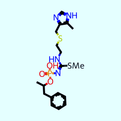 CSC(=NP(=O)(O)OC(C)Cc1ccccc1)NCCSCc1nc[nH]c1C